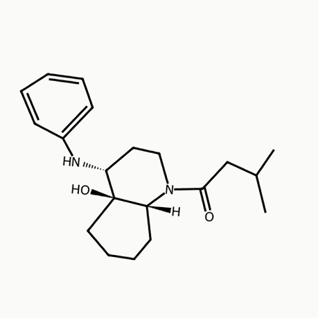 CC(C)CC(=O)N1CC[C@@H](Nc2ccccc2)[C@@]2(O)CCCC[C@@H]12